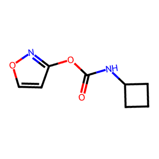 O=C(NC1CCC1)Oc1ccon1